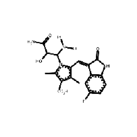 CCN(CC)C(C(O)C(N)=O)n1c(C)c(C(=O)O)c(C)c1C=C1C(=O)Nc2ccc(F)cc21